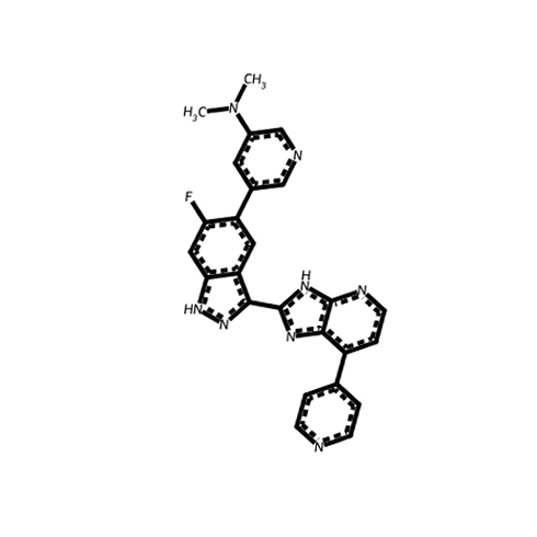 CN(C)c1cncc(-c2cc3c(-c4nc5c(-c6ccncc6)ccnc5[nH]4)n[nH]c3cc2F)c1